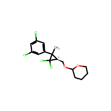 CC1(c2cc(Cl)cc(Cl)c2)[C@@H](COC2CCCCO2)C1(Cl)Cl